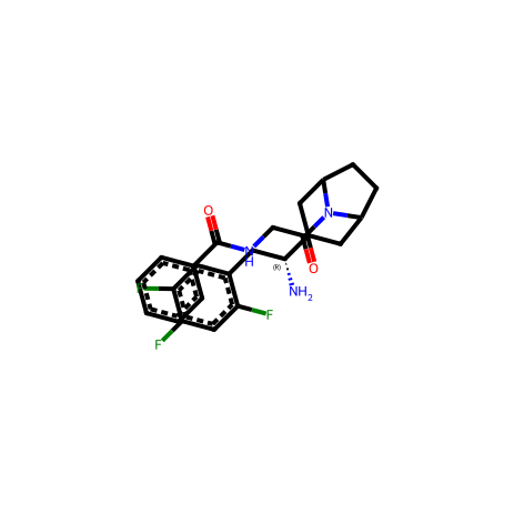 N[C@H](Cc1cc(F)c(F)cc1F)C1CC2CCC(C1)N2C(=O)CNC(=O)c1ccccc1